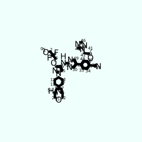 COCC(F)(F)COc1nn([C@H]2CC[C@H](N3C4CC[C@H]3COC4)CC2)cc1Nc1ncc(-c2ccc(C#N)c(O[C@@H](C)Cn3cncn3)c2)cn1